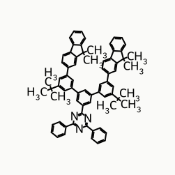 CC(C)(C)c1cc(-c2cc(-c3cc(-c4ccc5c(c4)C(C)(C)c4ccccc4-5)cc(C(C)(C)C)c3)cc(-c3nc(-c4ccccc4)nc(-c4ccccc4)n3)c2)cc(-c2ccc3c(c2)C(C)(C)c2ccccc2-3)c1